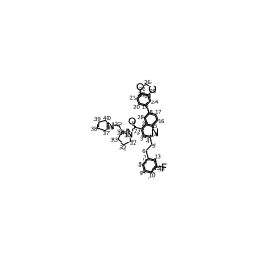 O=C(c1cc(CCc2cccc(F)c2)nc2ccc(-c3ccc4c(c3)OCO4)cc12)N1CCC[C@H]1CN1CCCC1